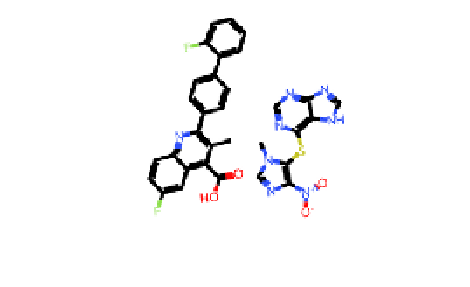 Cc1c(-c2ccc(-c3ccccc3F)cc2)nc2ccc(F)cc2c1C(=O)O.Cn1cnc([N+](=O)[O-])c1Sc1ncnc2nc[nH]c12